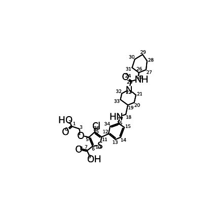 O=C(O)COc1c(C(=O)O)sc(-c2cccc(NCC3CCN(C(=O)NC4CCCCC4)CC3)c2)c1Cl